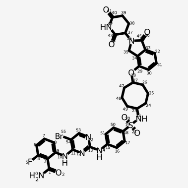 NC(=O)c1c(F)cccc1Nc1nc(Nc2ccc(S(=O)(=O)NC3CCCC(Oc4cccc5c4CN(C4CCC(=O)NC4=O)C5=O)CCC3)cc2)ncc1Br